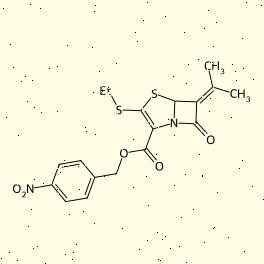 CCSC1=C(C(=O)OCc2ccc([N+](=O)[O-])cc2)N2C(=O)C(=C(C)C)C2S1